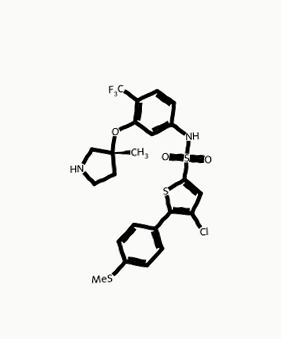 CSc1ccc(-c2sc(S(=O)(=O)Nc3ccc(C(F)(F)F)c(O[C@]4(C)CCNC4)c3)cc2Cl)cc1